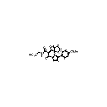 COc1ccc(-c2ccc3n2C2(CCCC2)C(O)=C(C(=O)NCC(=O)O)C3=O)cc1